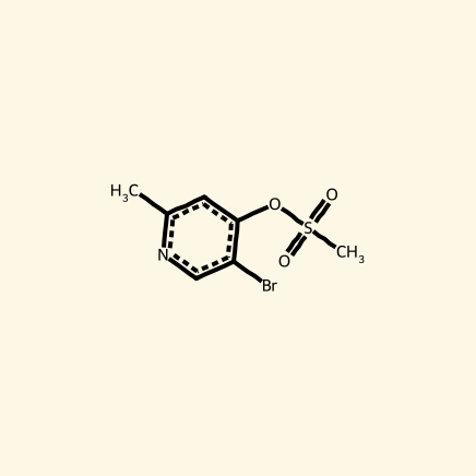 Cc1cc(OS(C)(=O)=O)c(Br)cn1